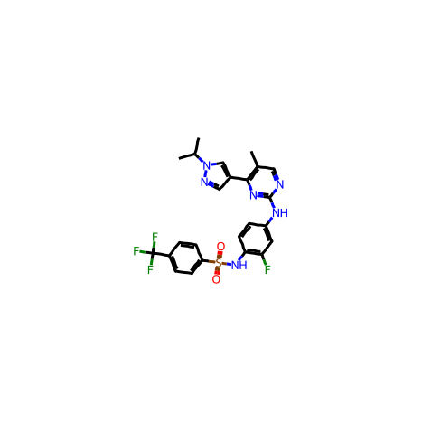 Cc1cnc(Nc2ccc(NS(=O)(=O)c3ccc(C(F)(F)F)cc3)c(F)c2)nc1-c1cnn(C(C)C)c1